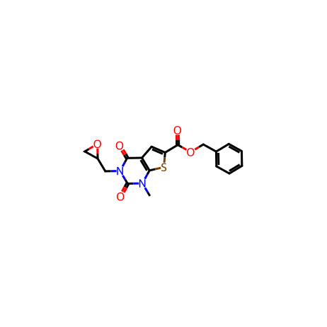 Cn1c(=O)n(CC2CO2)c(=O)c2cc(C(=O)OCc3ccccc3)sc21